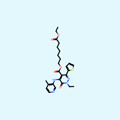 CCOC(=O)CCCCCCOC(=O)c1c(-c2cccs2)nn(CC)c(=O)c1Nc1cnccc1C